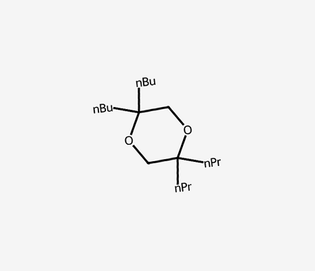 CCCCC1(CCCC)COC(CCC)(CCC)CO1